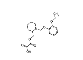 CCOc1ccccc1OCN1CCCCC1COC(=O)C(=O)O